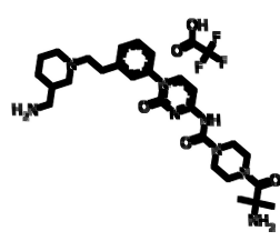 CC(C)(N)C(=O)N1CCN(C(=O)Nc2ccn(-c3cccc(CCN4CCCC(CN)C4)c3)c(=O)n2)CC1.O=C(O)C(F)(F)F